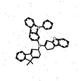 CC1(C)C2=CCC(N(C3=Cc4oc5ccccc5c4CC3)c3ccc4c5ccccc5n(-c5ccccc5)c4c3)C=C2c2ccccc21